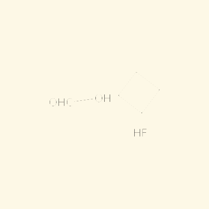 C1CCC1.F.O=CO